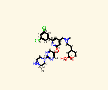 CCC(CCN(C)Cc1cc(Oc2cnc(N3CCN[C@@H](C)C3)nc2)nc(-c2cc(Cl)cc(Cl)c2)c1)CC(=O)O